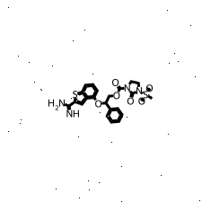 CS(=O)(=O)N1CCN(C(=O)OCC(Oc2cccc3sc(C(=N)N)cc23)c2ccccc2)C1=O